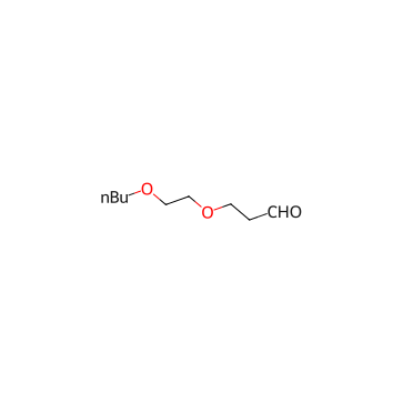 CCCCOCCOCCC=O